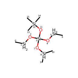 C[SiH2]O[Si](O[SiH2]C)(O[SiH](C)C)O[Si](C)(C)C